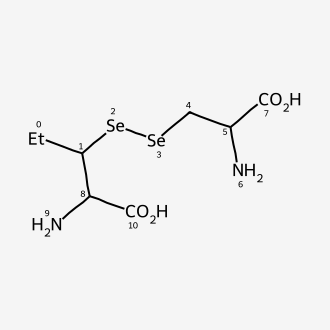 CCC([Se][Se]CC(N)C(=O)O)C(N)C(=O)O